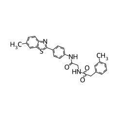 Cc1cccc(CS(=O)(=O)NCC(=O)Nc2ccc(-c3nc4ccc(C)cc4s3)cc2)c1